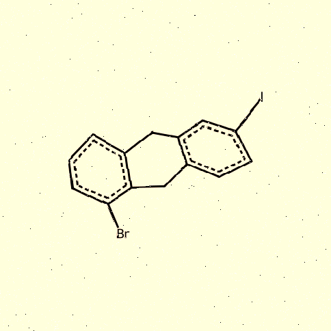 Brc1cccc2c1Cc1ccc(I)cc1C2